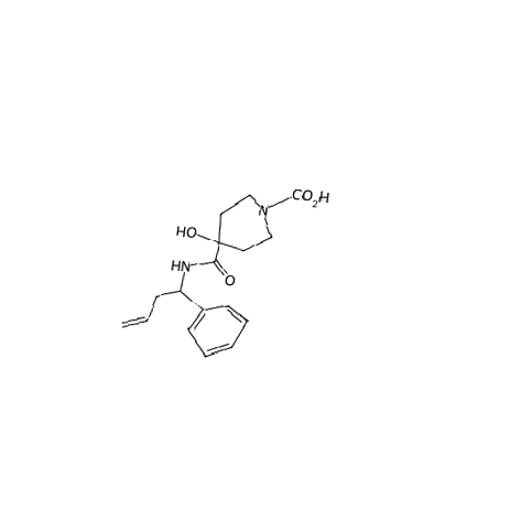 C=CCC(NC(=O)C1(O)CCN(C(=O)O)CC1)c1ccccc1